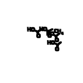 C.CC(=O)O.CC(=O)O.CC(=O)O.CC(=O)O